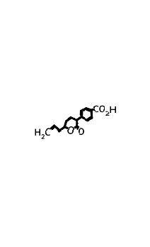 C=CCC1CCC(c2ccc(C(=O)O)cc2)C(=O)O1